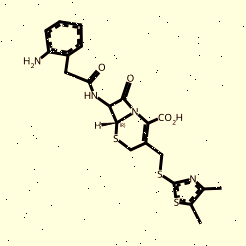 Cc1nc(SCC2=C(C(=O)O)N3C(=O)C(NC(=O)Cc4ccccc4N)[C@H]3SC2)sc1C